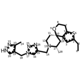 CCc1cc2c(s1)CCO[C@@]21CCN(Cc2cn(Cc3c[nH]nc3C)nn2)[C@@H](C)C1